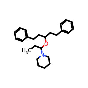 CCC(OC(CCc1ccccc1)CCc1ccccc1)N1CCCCC1